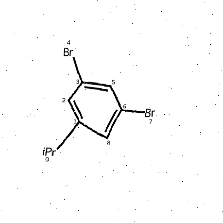 [CH2]C(C)c1cc(Br)cc(Br)c1